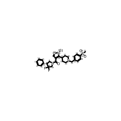 CCn1ncc(C(=O)N2C[C@@H](c3ccccc3)C(F)(F)C2)c1C1CCN(Cc2ccc(S(C)(=O)=O)cc2)CC1